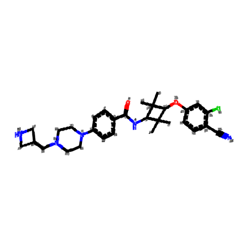 CC1(C)C(NC(=O)c2ccc(N3CCN(CC4CNC4)CC3)cc2)C(C)(C)C1Oc1ccc(C#N)c(Cl)c1